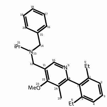 CCc1cccc(CC)c1-c1ncc(CN(Cc2ccccc2)C(C)C)c(OC)c1C